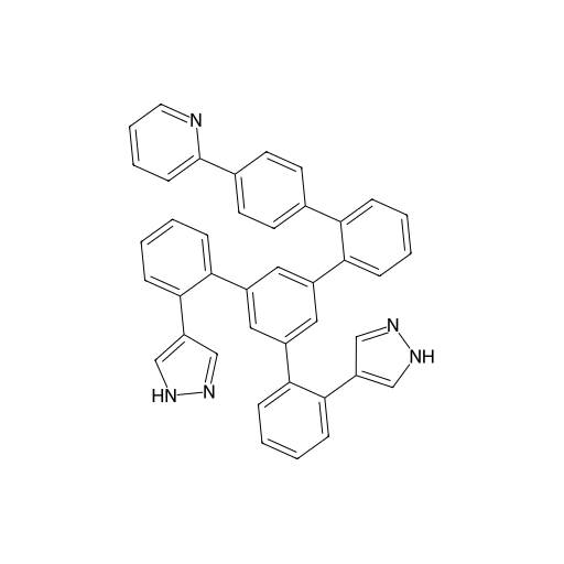 c1ccc(-c2ccc(-c3ccccc3-c3cc(-c4ccccc4-c4cn[nH]c4)cc(-c4ccccc4-c4cn[nH]c4)c3)cc2)nc1